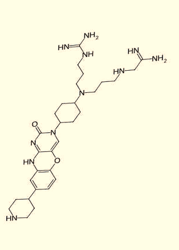 N=C(N)CNCCCN(CCCNC(=N)N)C1CCC(n2cc3c(nc2=O)Nc2cc(C4CCNCC4)ccc2O3)CC1